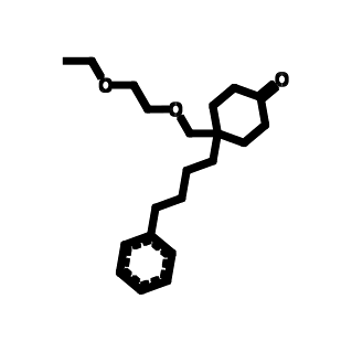 CCOCCOCC1(CCCCc2ccccc2)CCC(=O)CC1